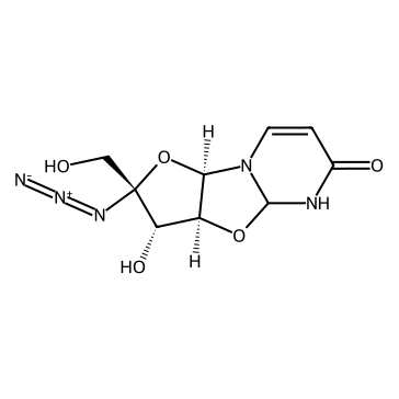 [N-]=[N+]=N[C@]1(CO)O[C@@H]2[C@@H](OC3NC(=O)C=CN32)[C@@H]1O